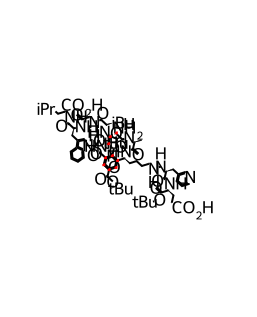 CC[C@H](C)[C@H](NC(=O)[C@H](Cc1ccccc1)NC(=O)[C@H](CCC(=O)OC(C)(C)C)NC(=O)[C@H](CCCCNN[C@@H](Cc1cccnc1)C(=O)N[C@@H](CCC(=O)O)C(=O)OC(C)(C)C)NC(=O)[C@H](C)NC(=O)[C@H](C)N)C(=O)N[C@@H](C)C(=O)N[C@@H](Cc1cn(C(=O)OC(C)(C)C)c2ccccc12)C(=O)N[C@@H](CC(C)C)C(=O)O